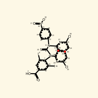 O=C(O)c1cc(I)c(N(C(=S)N(c2ccc([N+](=O)[O-])cc2)c2cncc(Cl)n2)c2cncc(Cl)n2)c(I)c1